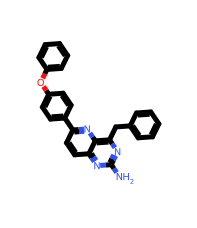 Nc1nc(Cc2ccccc2)c2nc(-c3ccc(Oc4ccccc4)cc3)ccc2n1